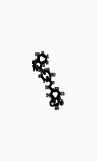 c1ccc2c(N3CCN(CCc4ccc5ncoc5c4)CC3)nsc2c1